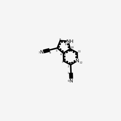 N#Cc1cc2c(C#N)c[nH]c2cn1